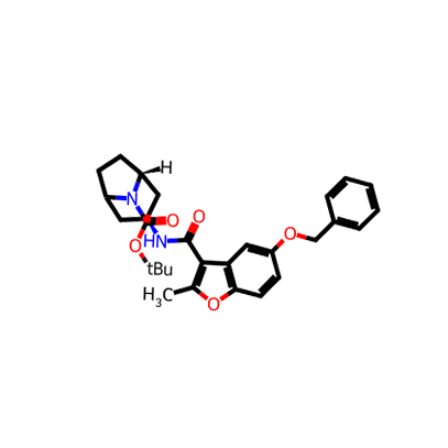 Cc1oc2ccc(OCc3ccccc3)cc2c1C(=O)N[C@H]1CC2CC[C@H](C1)N2C(=O)OC(C)(C)C